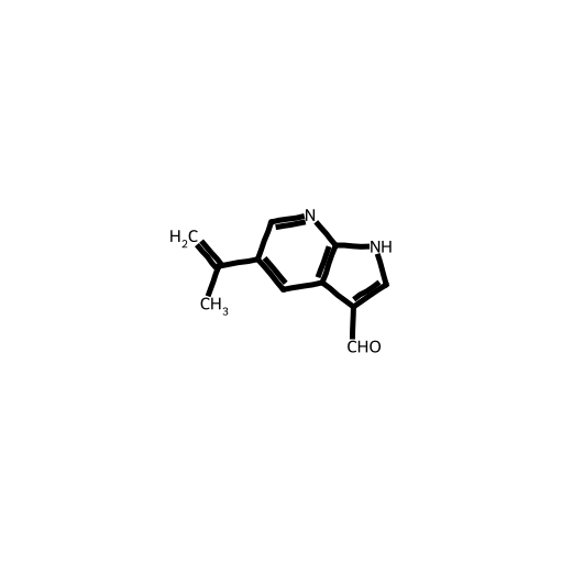 C=C(C)c1cnc2[nH]cc(C=O)c2c1